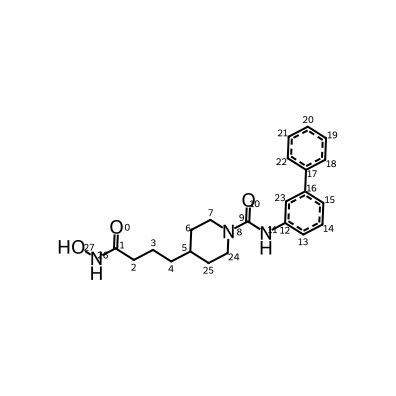 O=C(CCCC1CCN(C(=O)Nc2cccc(-c3ccccc3)c2)CC1)NO